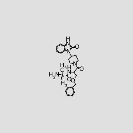 CC(C)(N)C(=O)NC(COCc1ccccc1)C(=O)N1CCC(n2c(=O)[nH]c3ccccc32)CC1